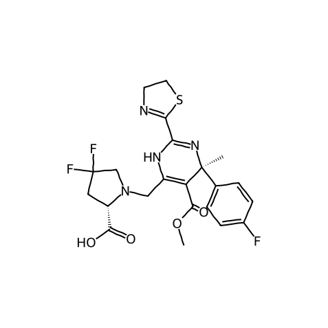 COC(=O)C1=C(CN2CC(F)(F)C[C@H]2C(=O)O)NC(C2=NCCS2)=N[C@@]1(C)c1ccc(F)cc1